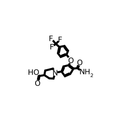 NC(=O)c1ccc(N2CCC(C(=O)O)CC2)cc1Oc1ccc(C(F)(F)F)cc1